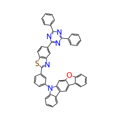 c1ccc(-c2nc(-c3ccccc3)nc(-c3ccc4sc(-c5cccc(-n6c7ccccc7c7cc8c(cc76)oc6ccccc68)c5)nc4c3)n2)cc1